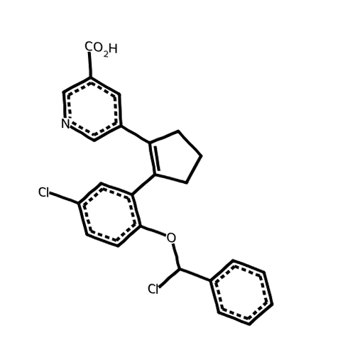 O=C(O)c1cncc(C2=C(c3cc(Cl)ccc3OC(Cl)c3ccccc3)CCC2)c1